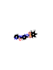 Cc1c(C)c(C)c(S(=O)(=O)NCc2ccc(C(=O)Nc3cccnc3)cc2)c(C)c1C